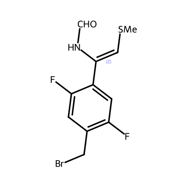 CS/C=C(\NC=O)c1cc(F)c(CBr)cc1F